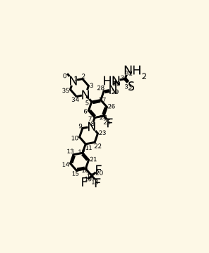 CN1CCN(c2cc(N3CCC(c4cccc(C(F)(F)F)c4)CC3)c(F)cc2C=NNC(N)=S)CC1